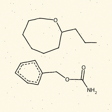 CCCC1CCCCCCO1.NC(=O)OCc1ccccc1